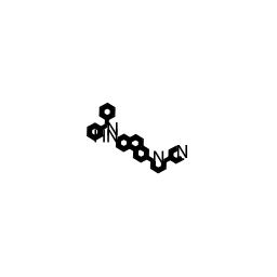 c1ccc(C(=NNc2ccc3c(ccc4cc(-c5cccc(-c6ccncc6)n5)ccc43)c2)c2ccccc2)cc1